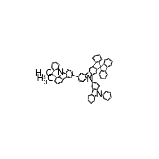 CC1(C)c2ccccc2-n2c3ccc(-c4ccc5c(c4)c4cc6c(cc4n5-c4ccc5c(c4)c4ccccc4n5-c4ccccc4)C4(c5ccccc5-c5ccccc54)c4ccccc4-6)cc3c3cccc1c32